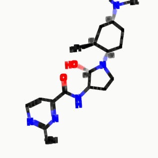 CCC[C@H]1C[C@H](N(CC)CC)CC[C@@H]1N1CCC(NC(=O)c2ccnc(C(C)(C)C)n2)[C@@H]1O